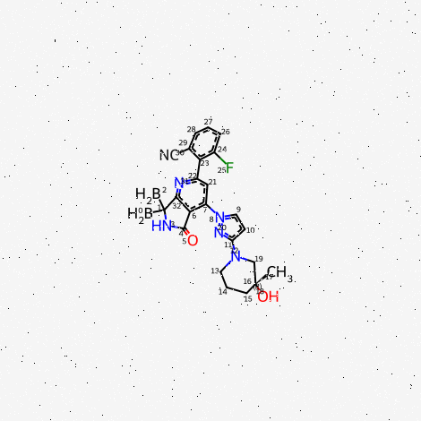 BC1(B)NC(=O)c2c(-n3ccc(N4CCC[C@@](C)(O)C4)n3)cc(-c3c(F)cccc3C#N)nc21